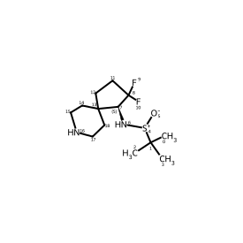 CC(C)(C)[S+]([O-])N[C@@H]1C(F)(F)CCC12CCNCC2